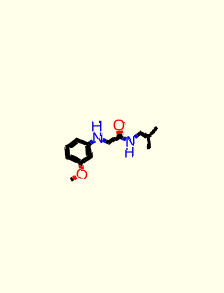 COc1cccc(NCC(=O)NCC(C)C)c1